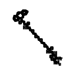 CC(C)C(NC(=O)CNC(=O)CCOCCOCCOCCOCCNC(=O)CCC(=O)N1Cc2ccccc2C#Cc2ccccc21)C(N)=O